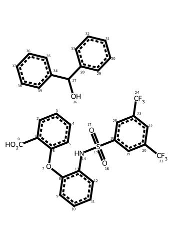 O=C(O)c1ccccc1Oc1ccccc1NS(=O)(=O)c1cc(C(F)(F)F)cc(C(F)(F)F)c1.OC(c1ccccc1)c1ccccc1